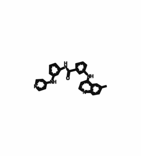 Cc1ccc2nccc(Nc3cccc(C(=O)Nc4cccc(Nc5ccncc5)c4)c3)c2c1